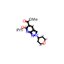 COC(=O)c1cc2cn(C3CCOCC3)nc2nc1OC(C)C